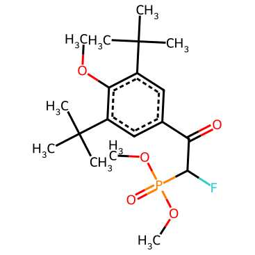 COc1c(C(C)(C)C)cc(C(=O)C(F)P(=O)(OC)OC)cc1C(C)(C)C